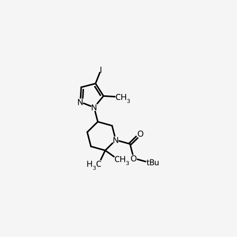 Cc1c(I)cnn1C1CCC(C)(C)N(C(=O)OC(C)(C)C)C1